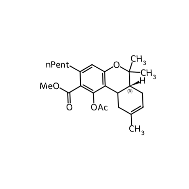 CCCCCc1cc2c(c(OC(C)=O)c1C(=O)OC)C1CC(C)=CC[C@H]1C(C)(C)O2